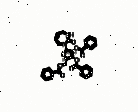 O=C(OC[C@H]1O[C@@H](N2CC=CCNC2=O)[C@H](OC(=O)c2ccccc2)[C@@H]1OC(=O)c1ccccc1)c1ccccc1